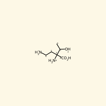 CC(O)C(N)(CCN)C(=O)O